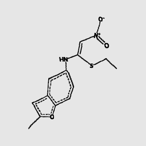 CCSC(=C[N+](=O)[O-])Nc1ccc2oc(C)cc2c1